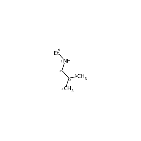 [CH2]CNCC(C)C